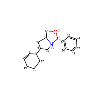 C1=CC(C2CC3CO[C@H](c4ccccc4)N3C2)CCC1